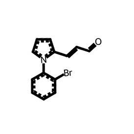 O=CC=Cc1cccn1-c1ccccc1Br